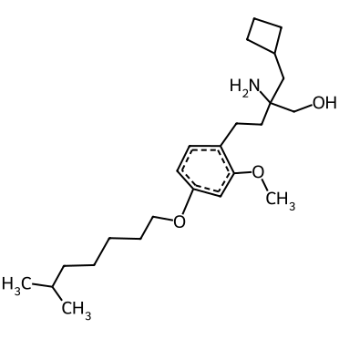 COc1cc(OCCCCCC(C)C)ccc1CCC(N)(CO)CC1CCC1